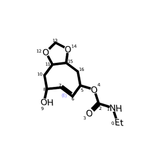 CCNC(=O)OC1/C=C/C(O)CC2OCOC2C1